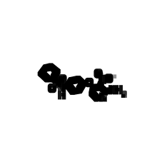 Nc1nccc(Oc2ccc(NS(=O)(=O)c3ccccc3)cc2)c1[N+](=O)[O-]